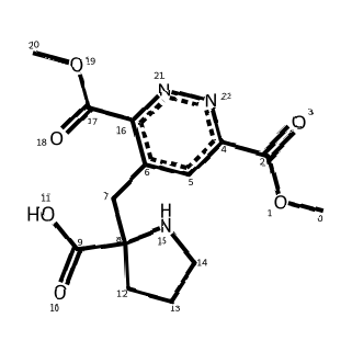 COC(=O)c1cc(CC2(C(=O)O)CCCN2)c(C(=O)OC)nn1